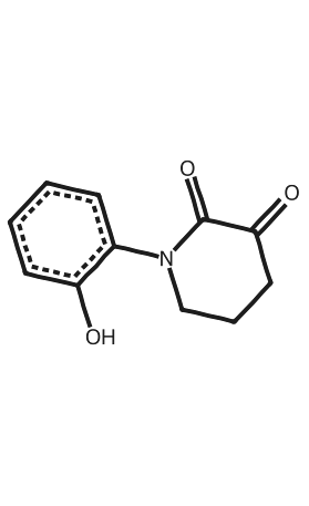 O=C1CCCN(c2ccccc2O)C1=O